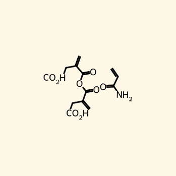 C=C(CC(=O)O)C(=O)OC(=O)C(=C)CC(=O)O.C=CC(N)=O